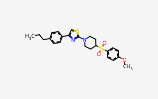 CCCc1ccc(-c2csc(N3CCC(S(=O)(=O)c4ccc(OC)cc4)CC3)n2)cc1